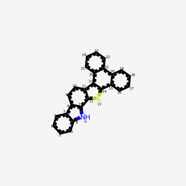 c1ccc2c(c1)[nH]c1c2ccc2c1sc1c3ccccc3c3ccccc3c21